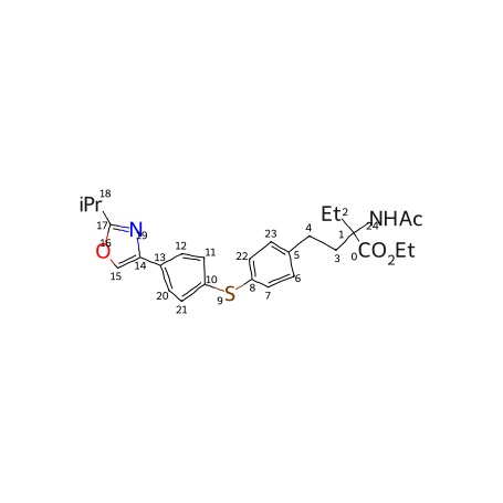 CCOC(=O)C(CC)(CCc1ccc(Sc2ccc(-c3coc(C(C)C)n3)cc2)cc1)NC(C)=O